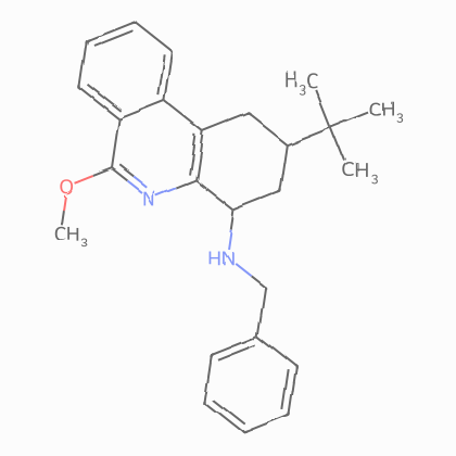 COc1nc2c(c3ccccc13)CC(C(C)(C)C)CC2NCc1ccccc1